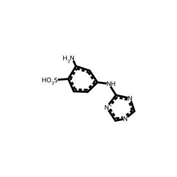 Nc1cc(Nc2ncncn2)ccc1S(=O)(=O)O